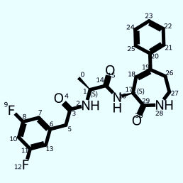 C[C@H](NC(=O)Cc1cc(F)cc(F)c1)C(=O)N[C@H]1C=C(c2ccccc2)CCNC1=O